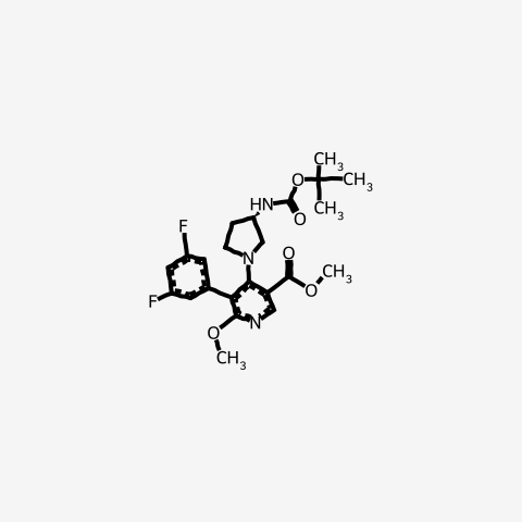 COC(=O)c1cnc(OC)c(-c2cc(F)cc(F)c2)c1N1CC[C@H](NC(=O)OC(C)(C)C)C1